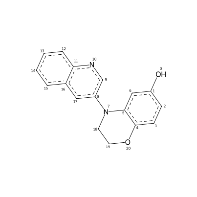 Oc1ccc2c(c1)N(c1cnc3ccccc3c1)CCO2